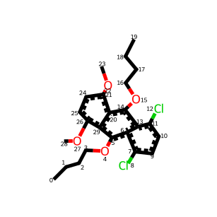 CCCCOc1c2c(Cl)ccc(Cl)c2c(OCCCC)c2c(OC)ccc(OC)c12